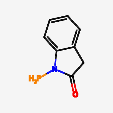 O=C1Cc2ccccc2N1P